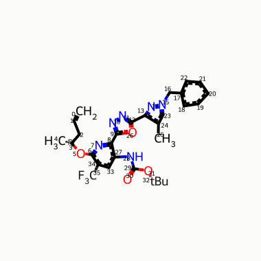 C=CC[C@@H](C)Oc1nc(-c2nnc(-c3nn(Cc4ccccc4)cc3C)o2)c(NC(=O)OC(C)(C)C)cc1C(F)(F)F